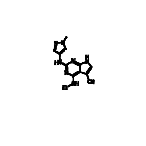 CCNc1nc(Nc2cnn(C)c2)nc2[nH]cc(C#N)c12